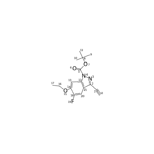 C#Cc1nn(C(=O)OC(C)(C)C)c2cc(OCC)c(F)cc12